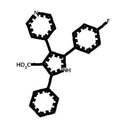 O=C(O)c1c(-c2ccccc2)[nH]c(-c2ccc(F)cc2)c1-c1ccncc1